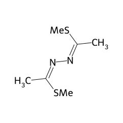 CS/C(C)=N\N=C(\C)SC